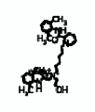 CCCCC[N+](CCO)(CCCCCCN1CCCCC1C(=O)Nc1c(C)cccc1C)CC(=O)Nc1c(C)cccc1C